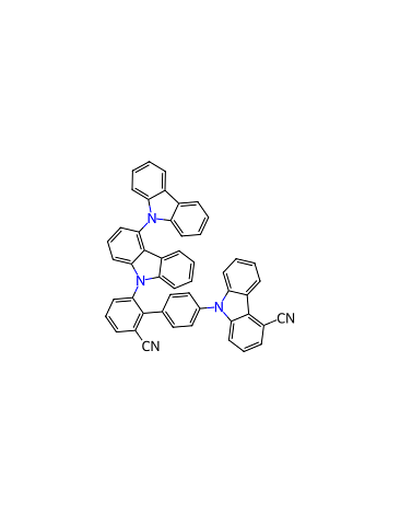 N#Cc1cccc(-n2c3ccccc3c3c(-n4c5ccccc5c5ccccc54)cccc32)c1-c1ccc(-n2c3ccccc3c3c(C#N)cccc32)cc1